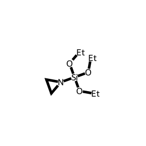 CCO[Si](OCC)(OCC)N1CC1